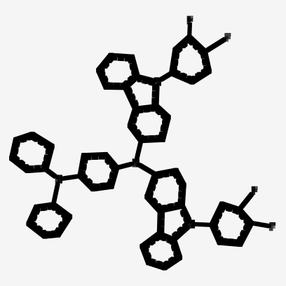 Fc1ccc(-n2c3ccccc3c3cc(N(c4ccc(N(c5ccccc5)c5ccccc5)cc4)c4ccc5c(c4)c4ccccc4n5-c4ccc(F)c(F)c4)ccc32)cc1F